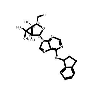 CC1(C)[C@]2(O)[C@H](n3cnc4c(NC5CCc6ccccc65)ncnc43)O[C@H](CCl)[C@]12O